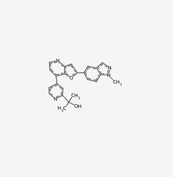 Cn1ncc2cc(-c3cc4nccc(-c5ccnc(C(C)(C)O)c5)c4o3)ccc21